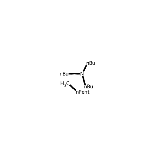 CCCCCC.CCCCN(CCCC)CCCC